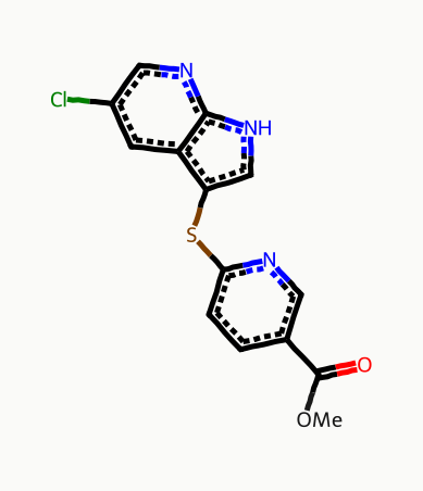 COC(=O)c1ccc(Sc2c[nH]c3ncc(Cl)cc23)nc1